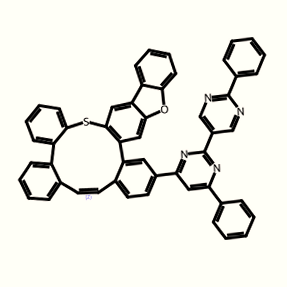 C1=C\c2ccc(-c3cc(-c4ccccc4)nc(-c4cnc(-c5ccccc5)nc4)n3)cc2-c2cc3oc4ccccc4c3cc2Sc2ccccc2-c2ccccc2/1